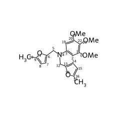 COc1cc(N(Cc2ccc(C)o2)Cc2ccc(C)o2)cc(OC)c1OC